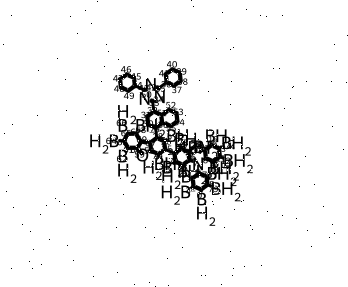 Bc1c(B)c(B)c(N(c2c(B)c(B)c(B)c(B)c2B)c2c(B)c(B)c(-c3c(B)c(-c4ccc(-c5nc(-c6ccccc6)nc(-c6ccccc6)n5)c5ccccc45)c4c(oc5c(B)c(B)c(B)c(B)c54)c3B)c(B)c2B)c(B)c1B